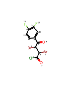 O=C(Cl)C(Br)C(Br)C(=O)c1ccc(F)c(F)c1